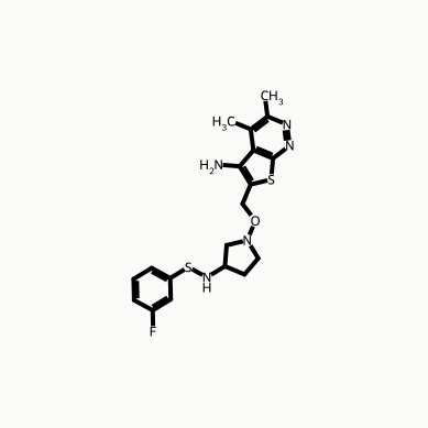 Cc1nnc2sc(CON3CCC(NSc4cccc(F)c4)C3)c(N)c2c1C